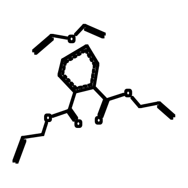 C=CCOC(=O)c1ccccc1C(=O)OCC=C.C=COC=C